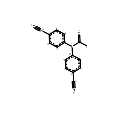 [C-]#[N+]c1ccc(N(C(C)=O)c2ccc(C#N)cc2)cc1